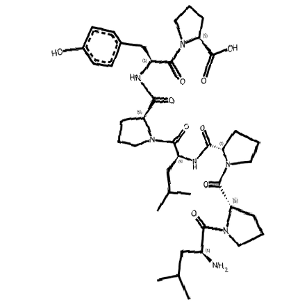 CC(C)C[C@H](NC(=O)[C@@H]1CCCN1C(=O)[C@@H]1CCCN1C(=O)[C@@H](N)CC(C)C)C(=O)N1CCC[C@H]1C(=O)N[C@@H](Cc1ccc(O)cc1)C(=O)N1CCC[C@H]1C(=O)O